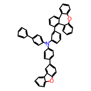 c1ccc(-c2ccc(N(c3ccc(-c4ccc5oc6ccccc6c5c4)cc3)c3cccc(-c4cccc5c4-c4ccccc4Oc4ccccc4-5)c3)cc2)cc1